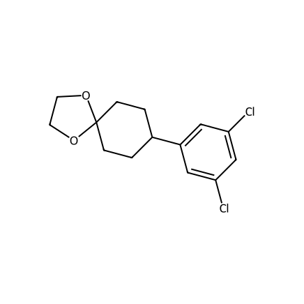 Clc1cc(Cl)cc(C2CCC3(CC2)OCCO3)c1